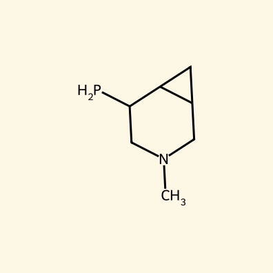 CN1CC(P)C2CC2C1